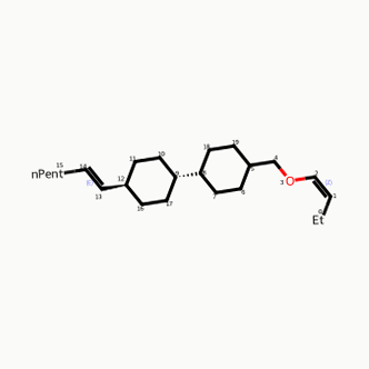 CC/C=C\OCC1CCC([C@H]2CC[C@H](/C=C/CCCCC)CC2)CC1